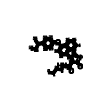 CCCCNC(=O)C1=C2C(=NC1=O)c1cccc3c(Oc4ccc(C(C)CC)cc4)ccc2c13